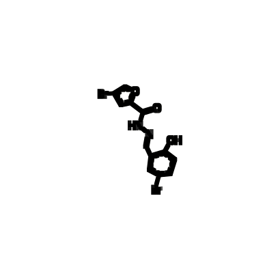 O=C(NN=Cc1cc(Br)ccc1O)c1cc(Br)co1